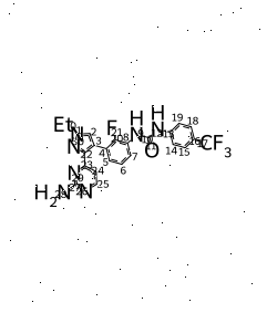 CCn1cc(-c2cccc(NC(=O)Nc3ccc(C(F)(F)F)cc3)c2F)c(-c2ccnc(N)n2)n1